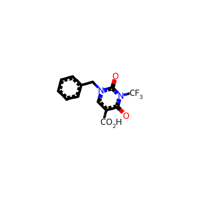 O=C(O)c1cn(Cc2ccccc2)c(=O)n(C(F)(F)F)c1=O